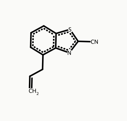 C=CCc1cccc2sc(C#N)nc12